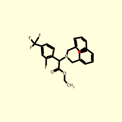 CCOC(=O)C(c1ccc(C(F)(F)F)cc1F)N(Cc1ccccc1)Cc1ccccc1